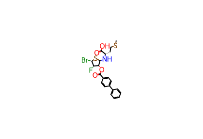 CSCC[C@H](N[C@@H]1S[C@H](Br)[C@@H](F)[C@@H]1OC(=O)c1ccc(-c2ccccc2)cc1)C(=O)O